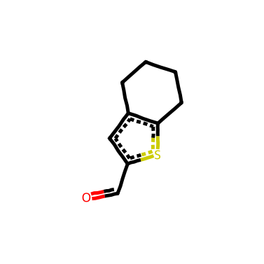 O=Cc1cc2c(s1)CCCC2